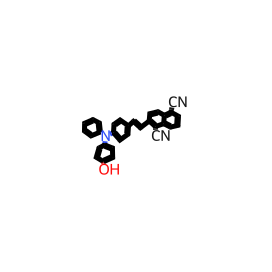 N#Cc1cccc2c(C#N)c(C=Cc3ccc(N(c4ccccc4)c4ccc(O)cc4)cc3)ccc12